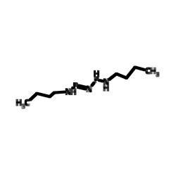 CCCCNP=NPNCCCC